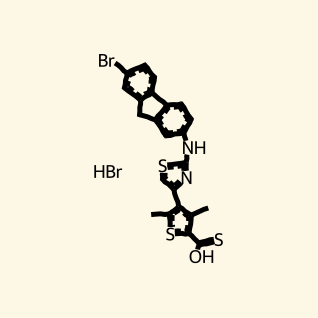 Br.Cc1sc(C(O)=S)c(C)c1-c1csc(Nc2ccc3c(c2)Cc2cc(Br)ccc2-3)n1